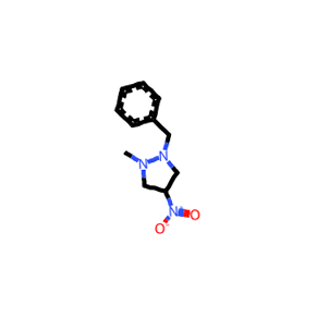 CN1CC([N+](=O)[O-])CN1Cc1ccccc1